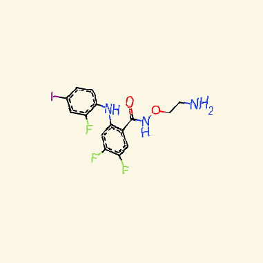 NCCONC(=O)c1cc(F)c(F)cc1Nc1ccc(I)cc1F